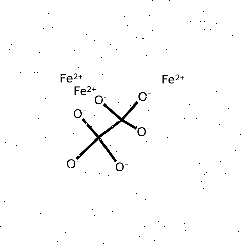 [Fe+2].[Fe+2].[Fe+2].[O-]C([O-])([O-])C([O-])([O-])[O-]